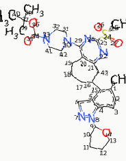 Cc1ccc2c(cnn2C2CCCCO2)c1C1CCCc2c(nc(S(C)(=O)=O)nc2N2CCN(C(=O)OC(C)(C)C)CC2)C1